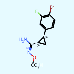 N/C(=N/OC(=O)O)[C@H]1C[C@@H]1c1ccc(Br)c(F)c1